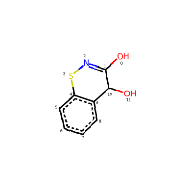 OC1=NSc2ccccc2C1O